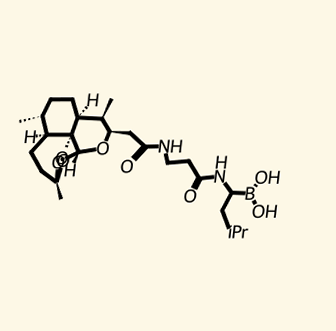 CC(C)CC(NC(=O)CCNC(=O)C[C@H]1O[C@@H]2O[C@@]3(C)CC[C@H]4[C@H](C)CC[C@@H]([C@H]1C)[C@@]24OO3)B(O)O